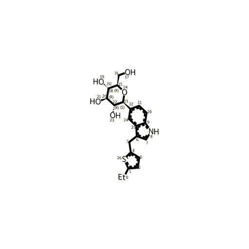 CCc1ccc(Cc2c[nH]c3ccc([C@@H]4O[C@H](CO)[C@@H](O)[C@H](O)[C@H]4O)cc23)s1